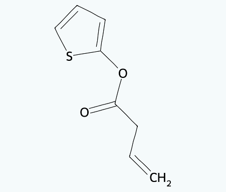 C=CCC(=O)Oc1cccs1